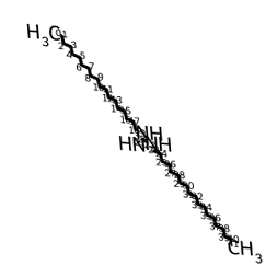 CCCCCCCCCCCCCCCCCCCNC(=N)NCCCCCCCCCCCCCCCCCCC